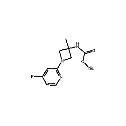 CC1(NC(=O)OC(C)(C)C)CN(c2cc(F)ccn2)C1